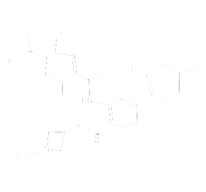 CN1CC(CC(=O)c2ccc(-c3ccc(Cl)cc3Cl)cc2NC(=O)c2cc(O)c(C(=O)O)cc2C=O)C1